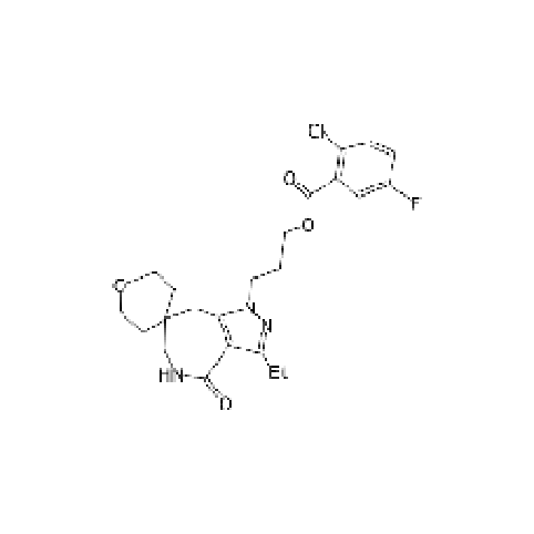 CCc1nn(CCCOC(=O)c2cc(F)ccc2Cl)c2c1C(=O)NCC1(CCOCC1)C2